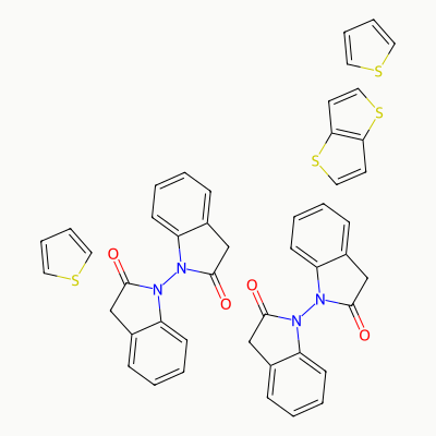 O=C1Cc2ccccc2N1N1C(=O)Cc2ccccc21.O=C1Cc2ccccc2N1N1C(=O)Cc2ccccc21.c1cc2sccc2s1.c1ccsc1.c1ccsc1